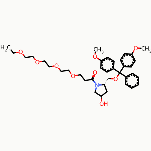 [CH2]COCCOCCOCCOCCC(=O)N1C[C@H](O)C[C@H]1COC(c1ccccc1)(c1ccc(OC)cc1)c1ccc(OC)cc1